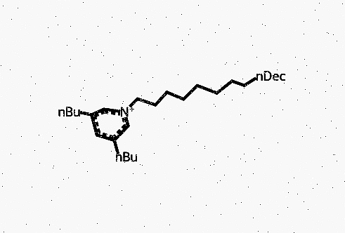 CCCCCCCCCCCCCCCCCC[n+]1cc(CCCC)cc(CCCC)c1